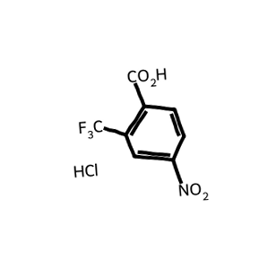 Cl.O=C(O)c1ccc([N+](=O)[O-])cc1C(F)(F)F